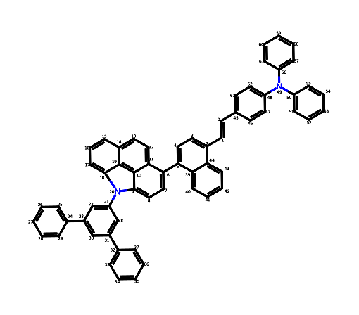 C(=C\c1ccc(-c2ccc3c4c2ccc2cccc(c24)n3-c2cc(-c3ccccc3)cc(-c3ccccc3)c2)c2ccccc12)/c1ccc(N(c2ccccc2)c2ccccc2)cc1